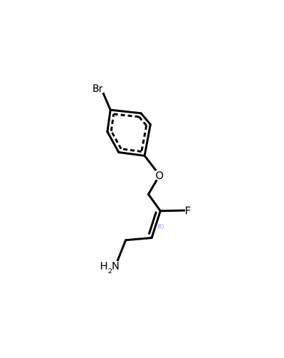 NC/C=C(/F)COc1ccc(Br)cc1